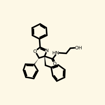 O=C(NCCO)[C@@]1(Cc2ccccc2)N=C(c2ccccc2)O[C@H]1c1ccccc1